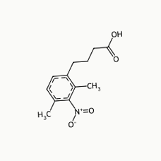 Cc1ccc(CCCC(=O)O)c(C)c1[N+](=O)[O-]